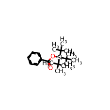 CC(C)(C)[Si](OC(=O)c1ccccc1)(C(C)(C)C)C(C)(C)C